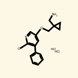 Cl.Cl.NCC1(COc2cnc(Cl)c(-c3ccccc3)c2)CC1